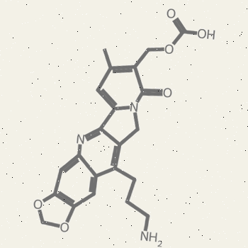 Cc1cc2n(c(=O)c1COC(=O)O)Cc1c-2nc2cc3c(cc2c1CCCN)OCO3